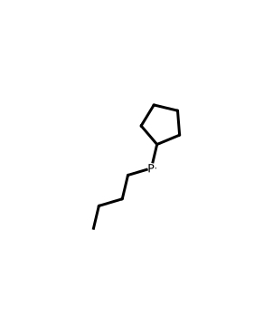 CCCC[P]C1CCCC1